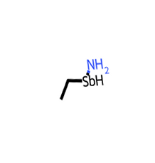 C[CH2][SbH][NH2]